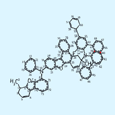 CC1CC=Cc2c1oc1c(N(c3ccccc3)c3ccc4c(c3)oc3c5c(c6ccccc6c34)CC(C)(N(c3ccccc3-c3ccccc3)c3c(F)cc(C4C=CC=CC4)cc3-c3ccccc3)C=C5)cccc21